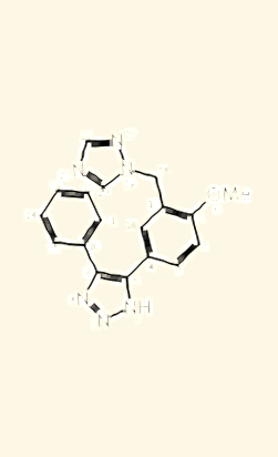 COc1ccc(-c2[nH]nnc2-c2ccccc2)cc1Cn1cncn1